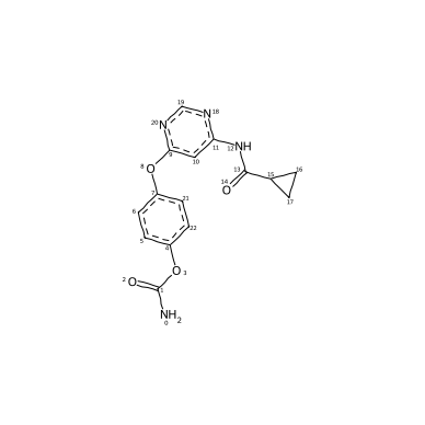 NC(=O)Oc1ccc(Oc2cc(NC(=O)C3CC3)ncn2)cc1